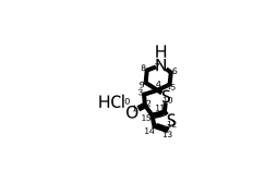 Cl.O=C1CC2([CH]CNCC2)Sc2sccc21